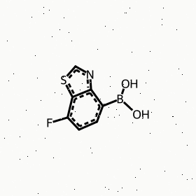 OB(O)c1ccc(F)c2scnc12